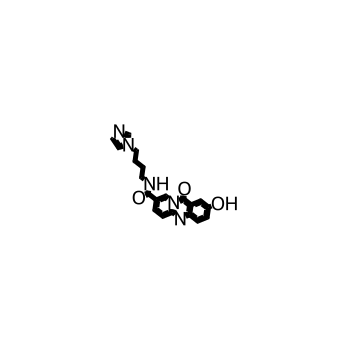 O=C(NCCCCn1ccnc1)c1ccc2nc3ccc(O)cc3c(=O)n2c1